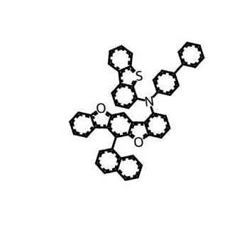 c1ccc(-c2ccc(N(c3cccc4c3sc3ccccc34)c3cccc4oc5c(-c6cccc7ccccc67)c6c(cc5c34)oc3ccccc36)cc2)cc1